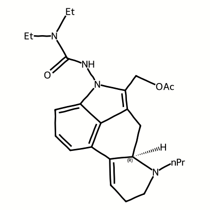 CCCN1CCC=C2c3cccc4c3c(c(COC(C)=O)n4NC(=O)N(CC)CC)C[C@H]21